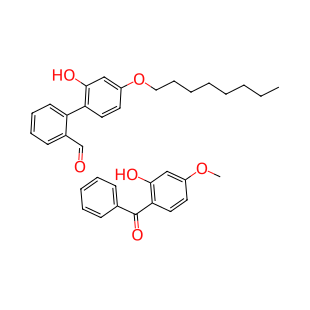 CCCCCCCCOc1ccc(-c2ccccc2C=O)c(O)c1.COc1ccc(C(=O)c2ccccc2)c(O)c1